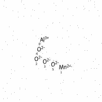 [Al+3].[Mn+2].[O-2].[O-2].[O-2].[O-2]